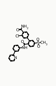 CS(=O)(=O)c1ccc(C(=O)Nc2cccc(-c3ccccn3)c2)c(-c2ccc(C(N)=O)c(Cl)c2)c1